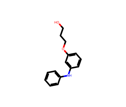 OCCCOc1cccc(Nc2ccccc2)c1